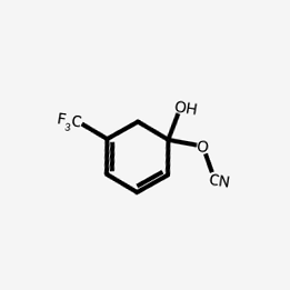 N#COC1(O)C=CC=C(C(F)(F)F)C1